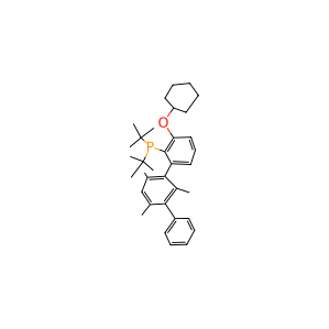 Cc1cc(C)c(-c2cccc(OC3CCCCC3)c2P(C(C)(C)C)C(C)(C)C)c(C)c1-c1ccccc1